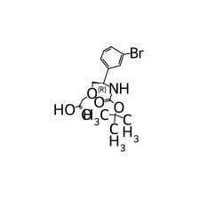 CC(C)(C)OC(=O)N[C@@H](COCC(=O)O)c1cccc(Br)c1